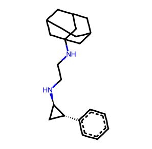 c1ccc([C@@H]2C[C@H]2NCCNC23CC4CC(CC(C4)C2)C3)cc1